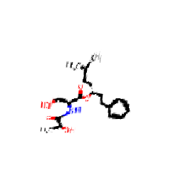 CC(C)CC[C@H](CCc1ccccc1)OC(=O)C(CO)NC(=O)C(C)O